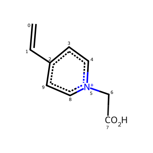 C=Cc1cc[n+](CC(=O)O)cc1